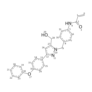 C=CC(=O)Nc1ccc(Cn2nc(-c3ccc(Oc4ccccc4)cc3)cc2CO)cc1